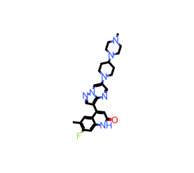 Cc1cc2c(-c3cnn4cc(N5CCC(N6CCN(C)CC6)CC5)cnc34)cc(=O)[nH]c2cc1F